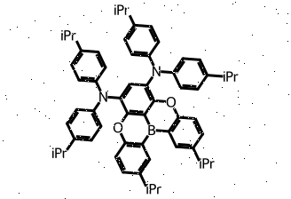 CC(C)c1ccc(N(c2ccc(C(C)C)cc2)c2cc(N(c3ccc(C(C)C)cc3)c3ccc(C(C)C)cc3)c3c4c2Oc2ccc(C(C)C)cc2B4c2cc(C(C)C)ccc2O3)cc1